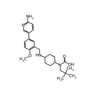 COc1ccc(-c2ccc(N)nc2)cc1CNC1CCC(N(CC(C)(C)C)C(=O)O)CC1